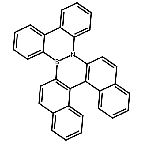 c1ccc2c(c1)B1c3ccc4ccccc4c3-c3c(ccc4ccccc34)N1c1ccccc1-2